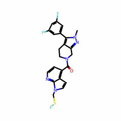 Cn1nc2c(c1-c1cc(F)cc(F)c1)CCN(C(=O)c1ccnc3c1ccn3CSF)C2